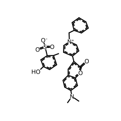 CN(C)c1ccc2cc(-c3cc[n+](Cc4ccccc4)cc3)c(=O)oc2c1.Cc1ccc(O)cc1S(=O)(=O)[O-]